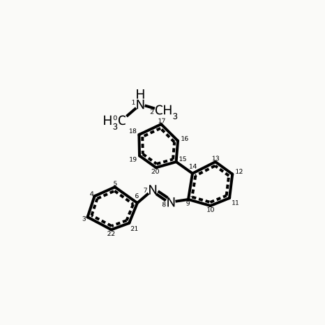 CNC.c1ccc(N=Nc2ccccc2-c2ccccc2)cc1